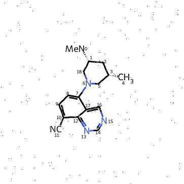 CN[C@@H]1C[C@H](C)CN(c2ccc(C#N)c3ncncc23)C1